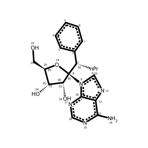 CCC[C@@H](c1ccccc1)[C@@]1(n2cnc3c(N)ncnc32)O[C@H](CO)[C@@H](O)[C@H]1O